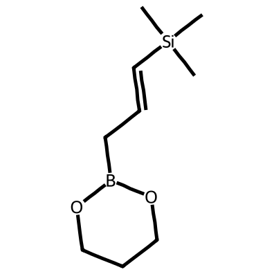 C[Si](C)(C)/C=C/CB1OCCCO1